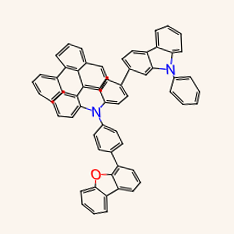 c1ccc(-c2cccc3cccc(-c4ccccc4N(c4ccc(-c5ccc6c7ccccc7n(-c7ccccc7)c6c5)cc4)c4ccc(-c5cccc6c5oc5ccccc56)cc4)c23)cc1